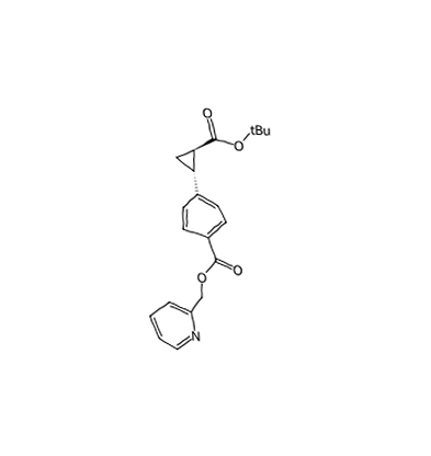 CC(C)(C)OC(=O)[C@@H]1C[C@H]1c1ccc(C(=O)OCc2ccccn2)cc1